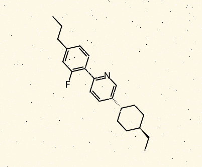 CCCc1ccc(-c2ccc([C@H]3CC[C@H](CC)CC3)cn2)c(F)c1